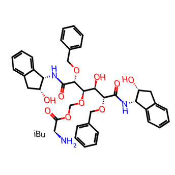 CC[C@H](C)[C@H](N)C(=O)OCO[C@H]([C@@H](O)[C@@H](OCc1ccccc1)C(=O)N[C@H]1c2ccccc2C[C@H]1O)[C@@H](OCc1ccccc1)C(=O)N[C@H]1c2ccccc2C[C@H]1O